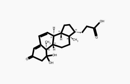 C[C@]12CC[C@H]3[C@@H](C=CC4=CC(=O)CC(O)(O)[C@@]43C)[C@@H]1CC[C@@H]2CCC(=O)O